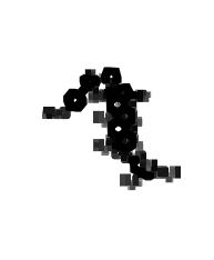 COc1ccc(-c2cnc([C@@H]3CCCN3C(=O)[C@]34CCC(C(C)C)[C@@H]3[C@H]3CC[C@@H]5[C@@]6(C)CC[C@H](OC(=O)CC(C)(C)CC(=O)O)C(C)(C)[C@@H]6CC[C@@]5(C)[C@]3(C)CC4)[nH]2)cc1